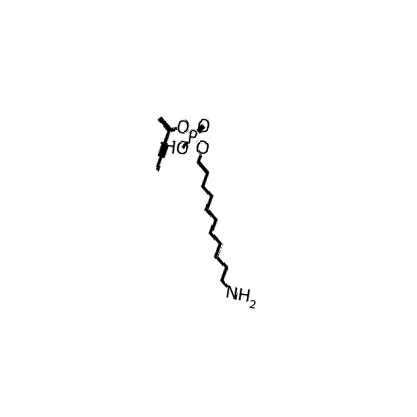 C=C(C#CC)OP(=O)(O)OCCCCCCCCCCCN